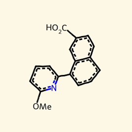 COc1cccc(-c2cccc3ccc(C(=O)O)cc23)n1